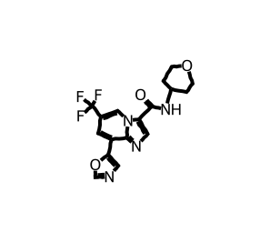 O=C(NC1CCOCC1)c1cnc2c(-c3cnco3)cc(C(F)(F)F)cn12